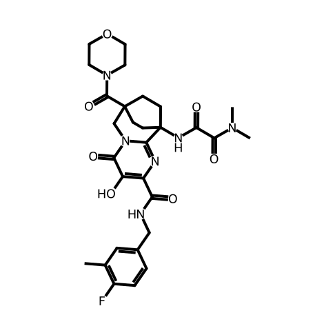 Cc1cc(CNC(=O)c2nc3n(c(=O)c2O)CC2(C(=O)N4CCOCC4)CCC3(NC(=O)C(=O)N(C)C)CC2)ccc1F